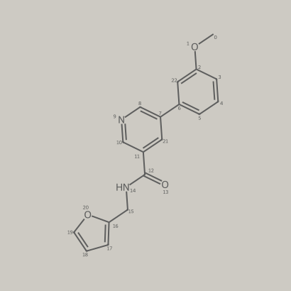 COc1cccc(-c2cncc(C(=O)NCc3ccco3)c2)c1